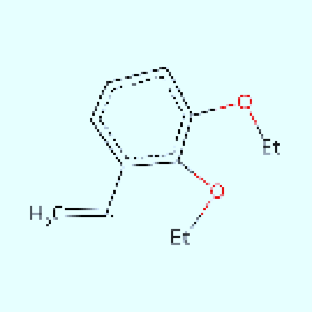 C=[C]c1cccc(OCC)c1OCC